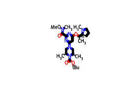 CON(C)C(=O)c1nc(O[C@@H](C)[C@@H]2CCCN2C)cc(N2C[C@@H](C)N(C(=O)OC(C)(C)C)[C@@H](C)C2)n1